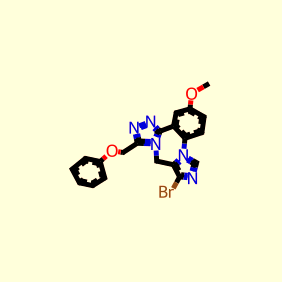 COc1ccc2c(c1)-c1nnc(COc3ccccc3)n1Cc1c(Br)ncn1-2